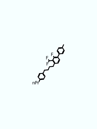 CCCc1ccc(CCCCc2ccc(-c3ccc(C)cc3)c(F)c2C(F)F)cc1